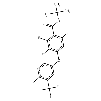 CC(C)(C)OC(=O)c1c(F)cc(Oc2ccc(Cl)c(C(F)(F)F)c2)c(F)c1F